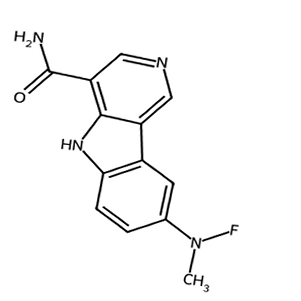 CN(F)c1ccc2[nH]c3c(C(N)=O)cncc3c2c1